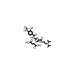 COc1cc(C(=O)Nc2nc(C(=O)NCCN(C(C)C)C(C)C)cs2)ccc1NC=O.O=C(O)C=CC(=O)O